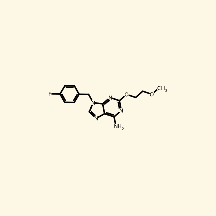 COCCOc1nc(N)c2ncn(Cc3ccc(F)cc3)c2n1